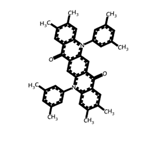 Cc1cc(C)cc(-n2c3cc(C)c(C)cc3c(=O)c3cc4c(cc32)c(=O)c2cc(C)c(C)cc2n4-c2cc(C)cc(C)c2)c1